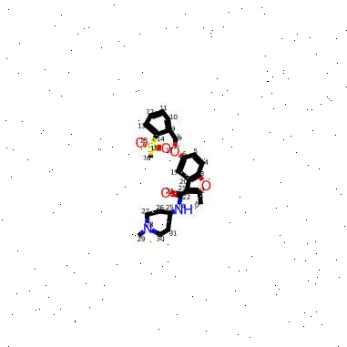 Cc1oc2ccc(OCc3ccccc3S(C)(=O)=O)cc2c1C(=O)NC1CCN(C)CC1